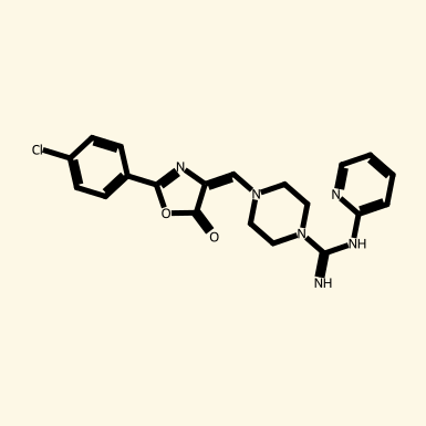 N=C(Nc1ccccn1)N1CCN(/C=C2/N=C(c3ccc(Cl)cc3)OC2=O)CC1